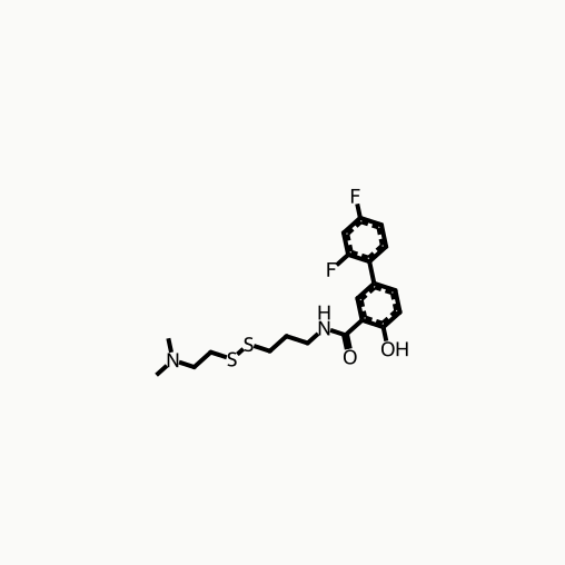 CN(C)CCSSCCCNC(=O)c1cc(-c2ccc(F)cc2F)ccc1O